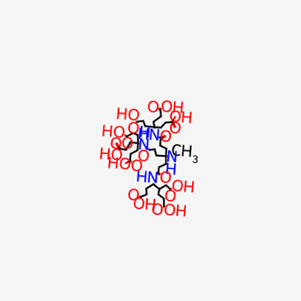 CNC(CCC(=O)NC(CCC(=O)O)C(CCC(=O)O)CC(=O)O)(CCC(=O)NC(CCC(=O)O)(CCC(=O)O)CCC(=O)O)CCC(=O)NC(CCC(=O)O)(CCC(=O)O)CCC(=O)O